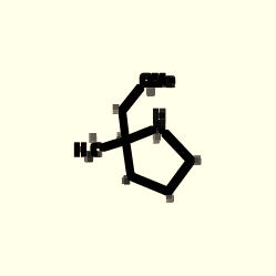 COCC1(C)CCCN1